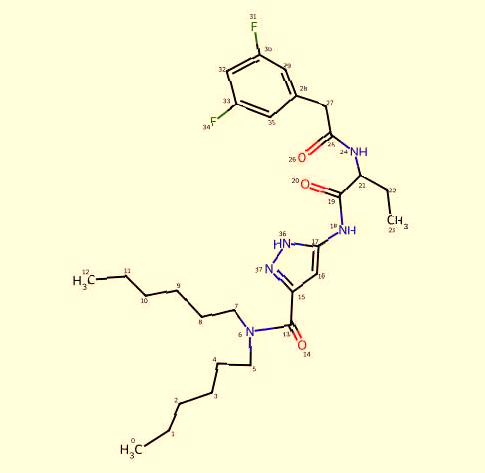 CCCCCCN(CCCCCC)C(=O)c1cc(NC(=O)C(CC)NC(=O)Cc2cc(F)cc(F)c2)[nH]n1